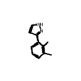 Cc1cccc(-c2cc[nH]n2)c1C